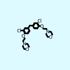 Clc1cc(Cc2ccc(OCCN3CCOCC3)c(Cl)c2)ccc1OCCN1CCOCC1